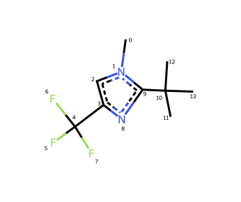 Cn1cc(C(F)(F)F)nc1C(C)(C)C